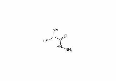 CCCC(CCC)C(=O)NN